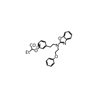 CCC(Oc1cccc(CCN(CCOc2ccccc2)c2nc3ccccc3o2)c1)C(=O)O